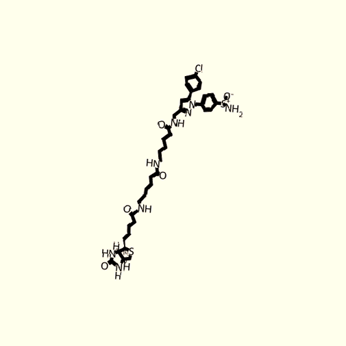 N[S+]([O-])c1ccc(-n2nc(CNC(=O)CCCCCNC(=O)CCCCCNC(=O)CCCC[C@H]3SC[C@H]4NC(=O)N[C@H]43)cc2-c2ccc(Cl)cc2)cc1